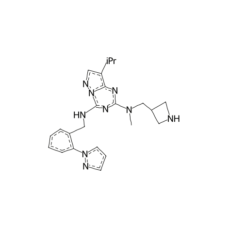 CC(C)c1cnn2c(NCc3ccccc3-n3cccn3)nc(N(C)CC3CNC3)nc12